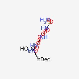 CCCCCCCCCCCCCCCCCC(=O)NC(CCC(=O)NCCOCCOCC(=O)NCCOCCOCC(=O)NCCCCCC(=O)SON)C(=O)O